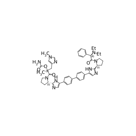 CCN(CC)[C@@H](C(=O)N1CCC[C@H]1c1ncc(-c2ccc(-c3ccc(-c4cnc([C@@H]5CCCN5C(=O)[C@](C)(Cc5cn(C)cn5)OC(N)=O)[nH]4)cc3)cc2)[nH]1)c1ccccc1